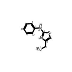 CC(C)(C)Cc1csc(Nc2ccccc2)n1